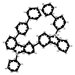 c1ccc(-c2ccc(-c3cccc4c3c3cc(-c5ccc6c(c5)c5ccccc5n6-c5cccc(-c6ccccc6)c5)ccc3n4-c3ccccc3)cc2)cc1